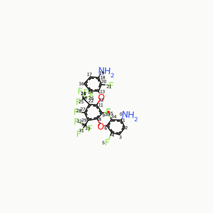 Nc1ccc(F)c(Oc2c(F)c(Oc3c(F)ccc(N)c3F)c(C(F)(F)F)c(F)c2C(F)(F)F)c1F